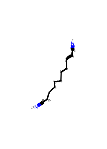 N#CC=CCCCCCCCC#N